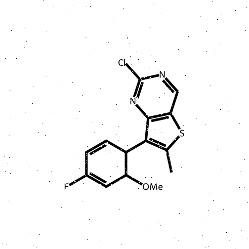 COC1C=C(F)C=CC1c1c(C)sc2cnc(Cl)nc12